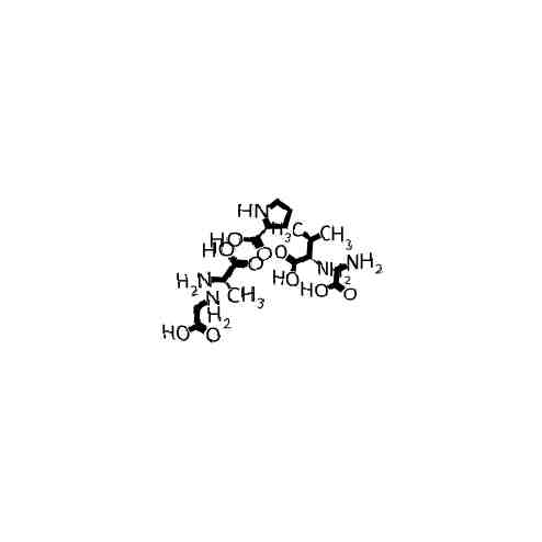 CC(C)[C@H](N)C(=O)O.C[C@H](N)C(=O)O.NCC(=O)O.NCC(=O)O.O=C(O)[C@@H]1CCCN1